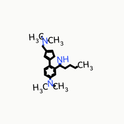 CCCCC(=N)c1cc(N(C)C)ccc1C1=CC(CN(C)C)=CC1